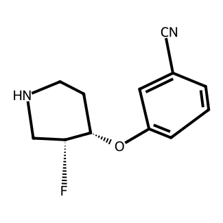 N#Cc1cccc(O[C@H]2CCNC[C@H]2F)c1